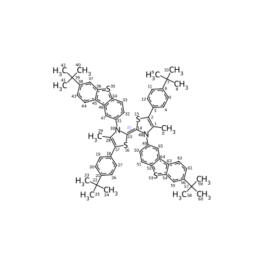 CC1=C(c2ccc(C(C)(C)C)cc2)S/C(=C2/SC(c3ccc(C(C)(C)C)cc3)=C(C)N2c2ccc3sc4cc(C(C)(C)C)ccc4c3c2)N1c1ccc2sc3cc(C(C)(C)C)ccc3c2c1